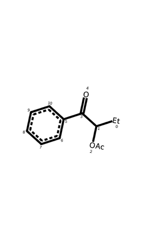 CCC(OC(C)=O)C(=O)c1ccccc1